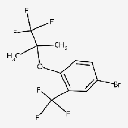 CC(C)(Oc1ccc(Br)cc1C(F)(F)F)C(F)(F)F